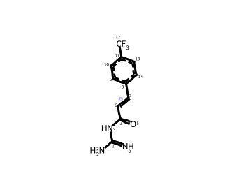 N=C(N)NC(=O)/C=C/c1ccc(C(F)(F)F)cc1